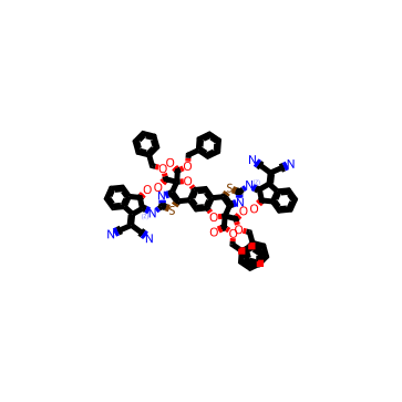 N#CC(C#N)=C1/C(=N/c2nc3c(s2)-c2cc4c(cc2OC3(C(=O)OCc2ccccc2)C(=O)OCc2ccccc2)-c2sc(/N=C3\C(=O)c5ccccc5C3=C(C#N)C#N)nc2C(C(=O)OCc2ccccc2)(C(=O)OCc2ccccc2)O4)C(=O)c2ccccc21